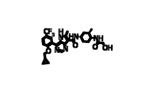 Cc1[nH]c2c(-c3cc(C(F)(F)F)ccc3OCC3CC3)ncnc2c1C(=O)N[C@H]1CC[C@H](NC(=O)CO)[C@H](C)C1